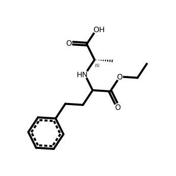 CCOC(=O)C(CCc1ccccc1)N[C@@H](C)C(=O)O